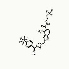 Cc1c(C(=O)NCCSC(F)(F)F)ccc2nn(CC3CN(C(=O)c4ccc(S(F)(F)(F)(F)F)cc4)C3)cc12